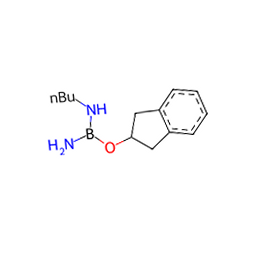 CCCCNB(N)OC1Cc2ccccc2C1